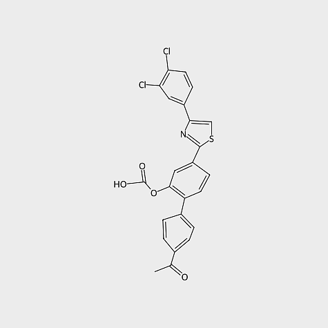 CC(=O)c1ccc(-c2ccc(-c3nc(-c4ccc(Cl)c(Cl)c4)cs3)cc2OC(=O)O)cc1